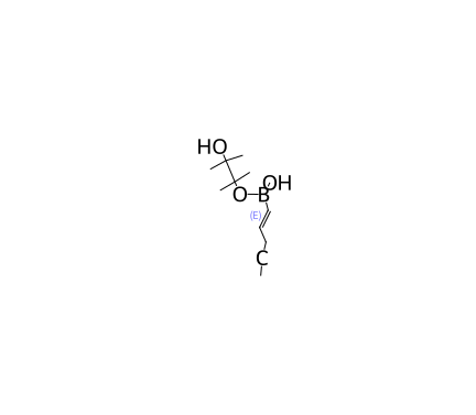 CCC/C=C/B(O)OC(C)(C)C(C)(C)O